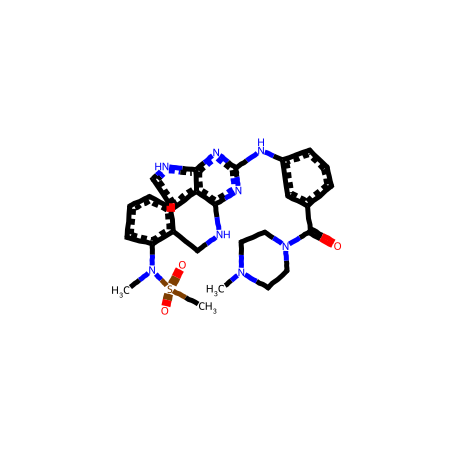 CN1CCN(C(=O)c2cccc(Nc3nc(NCc4ccccc4N(C)S(C)(=O)=O)c4cc[nH]c4n3)c2)CC1